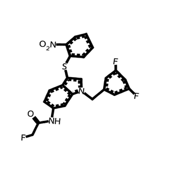 O=C(CF)Nc1ccc2c(Sc3ccccc3[N+](=O)[O-])cn(Cc3cc(F)cc(F)c3)c2c1